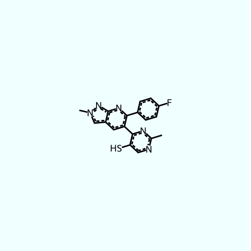 Cc1ncc(S)c(-c2cc3cn(C)nc3nc2-c2ccc(F)cc2)n1